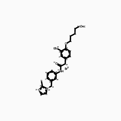 CCCCCCCCCCCCCCOc1ccc(CC(=O)Nc2cccc(C[n+]3ccsc3C)c2)cc1C(C)(C)C.[Br-]